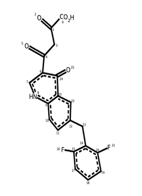 O=C(O)C(=O)CC(=O)c1c[nH]c2ccc(Cc3c(F)cccc3F)cc2c1=O